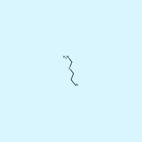 CC(C)CCSCN